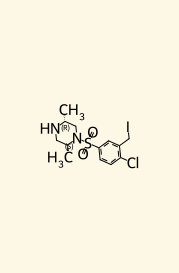 C[C@@H]1CN(S(=O)(=O)c2ccc(Cl)c(CI)c2)[C@@H](C)CN1